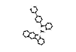 c1ccc2cc3c(cc2c1)c1ccccc1n3-c1nc(-c2ccc(-c3ccncc3)cc2)c2ccccc2n1